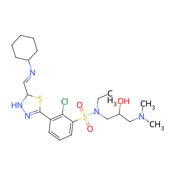 CCN(CC(O)CN(C)C)S(=O)(=O)c1cccc(C2=NNC(C=NC3CCCCC3)S2)c1Cl